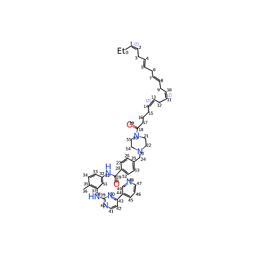 CC/C=C\CC=CCC=CC/C=C\C/C=C\CCCC(=O)N1CCN(Cc2ccc(C(=O)Nc3ccc(C)c(Nc4nccc(-c5cccnc5)n4)c3)cc2)CC1